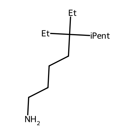 CCCC(C)C(CC)(CC)CCCCN